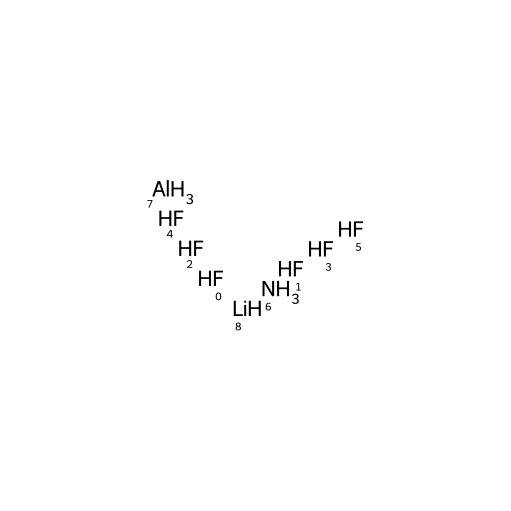 F.F.F.F.F.F.N.[AlH3].[LiH]